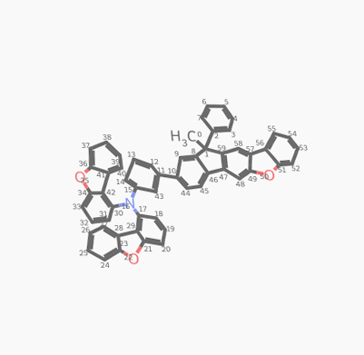 CC1(c2ccccc2)c2cc(-c3cccc(N(c4cccc5oc6ccccc6c45)c4cccc5oc6ccccc6c45)c3)ccc2-c2cc3oc4ccccc4c3cc21